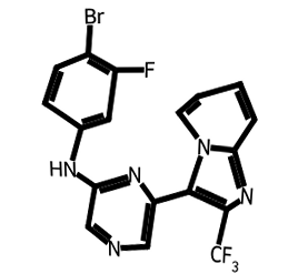 Fc1cc(Nc2cncc(-c3c(C(F)(F)F)nc4ccccn34)n2)ccc1Br